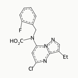 CCc1cnn2c(N(Cc3ccccc3F)C(=O)O)cc(Cl)nc12